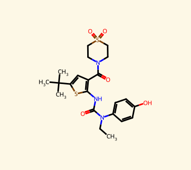 CCN(C(=O)Nc1sc(C(C)(C)C)cc1C(=O)N1CCS(=O)(=O)CC1)c1ccc(O)cc1